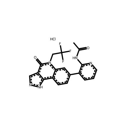 CC(=O)Nc1ncccc1-c1ccc2c3[nH]ncc3c(=O)n(CC(F)(F)F)c2c1.Cl